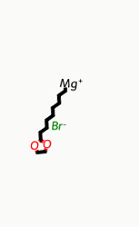 [Br-].[Mg+][CH2]CCCCCCCC1OCCO1